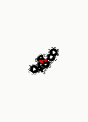 CC(C)(C)[Si](C[C@]1(C)CC2CC1(C(=O)c1ccc3ccccc3c1)C2)(c1ccccc1)c1ccccc1